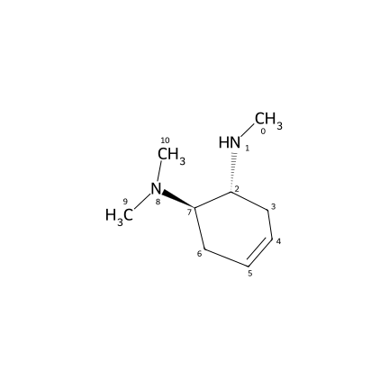 CN[C@@H]1CC=CC[C@H]1N(C)C